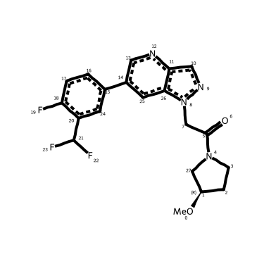 CO[C@@H]1CCN(C(=O)Cn2ncc3ncc(-c4ccc(F)c(C(F)F)c4)cc32)C1